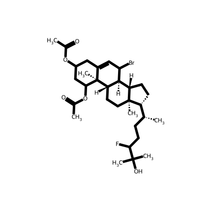 CC(=O)OC1CC2=CC(Br)[C@H]3[C@@H]4CC[C@H]([C@H](C)CCC(F)C(C)(C)O)[C@@]4(C)CC[C@@H]3[C@@]2(C)C(OC(C)=O)C1